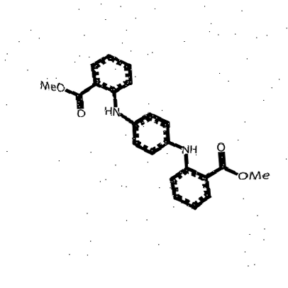 COC(=O)c1ccccc1Nc1ccc(Nc2ccccc2C(=O)OC)cc1